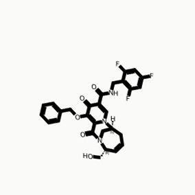 O=C(NCc1c(F)cc(F)cc1F)c1cn2c(c(OCc3ccccc3)c1=O)C(=O)N1C[C@@H]2CC=C[C@@H]1CO